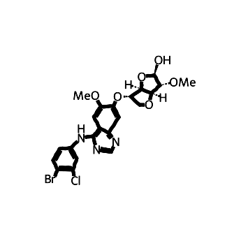 COc1cc2c(Nc3ccc(Br)c(Cl)c3)ncnc2cc1O[C@H]1CO[C@@H]2[C@@H](OC)[C@H](O)O[C@@H]21